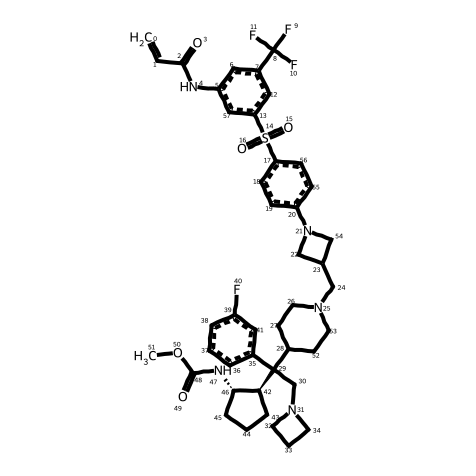 C=CC(=O)Nc1cc(C(F)(F)F)cc(S(=O)(=O)c2ccc(N3CC(CN4CCC(C(CN5CCC5)(c5cccc(F)c5)[C@H]5CCC[C@@H]5NC(=O)OC)CC4)C3)cc2)c1